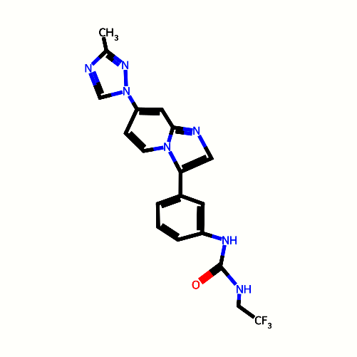 Cc1ncn(-c2ccn3c(-c4cccc(NC(=O)NCC(F)(F)F)c4)cnc3c2)n1